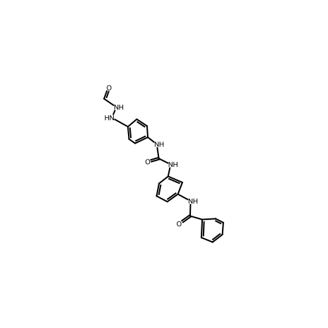 O=CNNc1ccc(NC(=O)Nc2cccc(NC(=O)c3ccccc3)c2)cc1